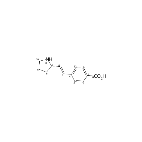 O=C(O)c1ccc(C=CC2CCCN2)cc1